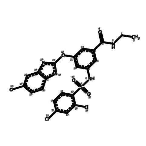 CCNC(=O)c1cc(NS(=O)(=O)c2ccc(Cl)cc2Cl)cc(Oc2nc3cc(Cl)ccc3s2)c1